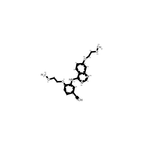 C#Cc1ccc(OCCOC)c(Nc2ncnc3cc(OCCOC)ccc23)c1